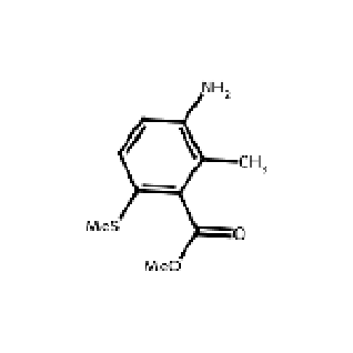 COC(=O)c1c(SC)ccc(N)c1C